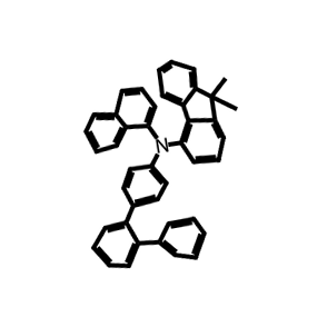 CC1(C)c2ccccc2-c2c(N(c3ccc(-c4ccccc4-c4ccccc4)cc3)c3cccc4ccccc34)cccc21